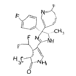 Cc1c(C(F)F)c(C2=N[C@@](c3ccc(F)cc3)(c3ccc(F)nc3)[C@H](C)N2)c[nH]c1=O